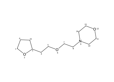 C1COC(CCOCCN2CCOCC2)C1